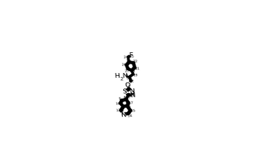 N[C@H](COc1nnc(-c2ccc3cnccc3c2)s1)Cc1ccc(CF)cc1